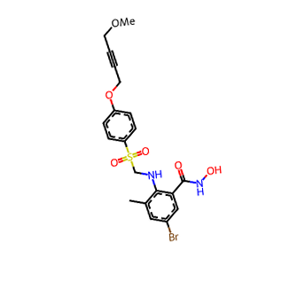 COCC#CCOc1ccc(S(=O)(=O)CNc2c(C)cc(Br)cc2C(=O)NO)cc1